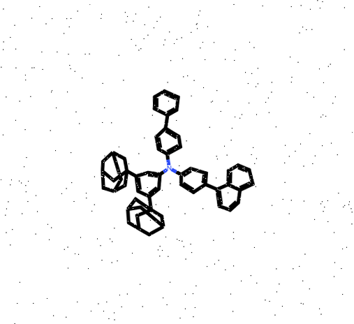 c1ccc(-c2ccc(N(c3ccc(-c4cccc5ccccc45)cc3)c3cc(C45CC6CC(CC(C6)C4)C5)cc(C45CC6CC(CC(C6)C4)C5)c3)cc2)cc1